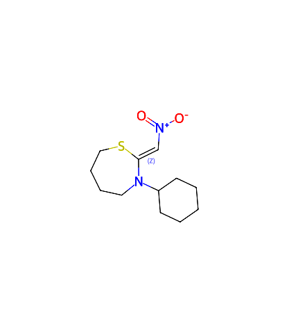 O=[N+]([O-])/C=C1\SCCCCN1C1CCCCC1